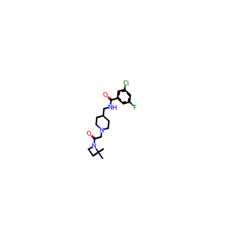 CC1(C)CCN1C(=O)CN1CCC(CNC(=O)c2cc(F)cc(Cl)c2)CC1